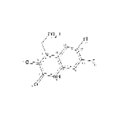 O=C(O)Cn1c(=O)c(=O)[nH]c2cc(Cl)c(Cl)cc21